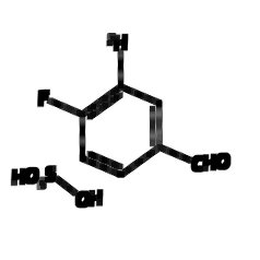 O=S(=O)(O)O.[2H]c1cc(C=O)ccc1F